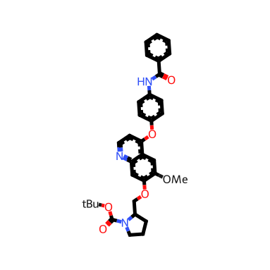 COc1cc2c(Oc3ccc(NC(=O)c4ccccc4)cc3)ccnc2cc1OCC1CCCN1C(=O)OC(C)(C)C